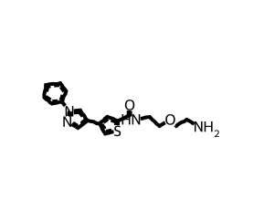 NCCOCCNC(=O)c1cc(-c2cnn(-c3ccccc3)c2)cs1